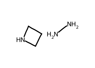 C1CNC1.NN